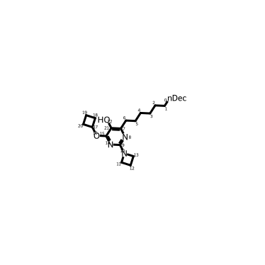 CCCCCCCCCCCCCCCCc1nc(N2CCC2)nc(OC2CCC2)c1O